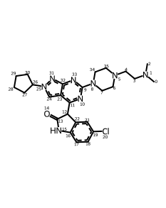 CN(C)CCN1CCN(c2nc(C3C(=O)Nc4ccc(Cl)cc43)c3cn(C4CCCC4)nc3n2)CC1